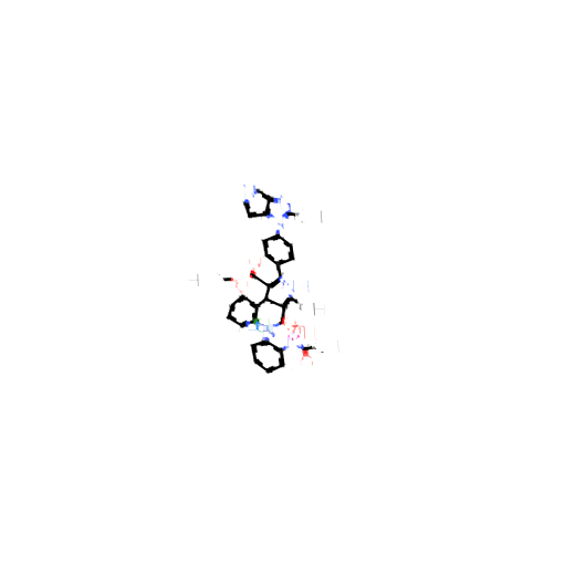 CCOC(=O)C1=C(c2ccc(-n3c(C)nc4cnccc43)cc2)NC(C)=C(C(=O)Nc2ccccc2N(O)C(C)=O)C1c1ccccc1Cl